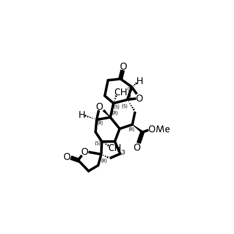 COC(=O)[C@@H]1C[C@@]23O[C@@H]2C(=O)CC[C@]3(C)[C@@]23O[C@@H]2C[C@@]2(C)C(CC[C@@]24CCC(=O)O4)C13